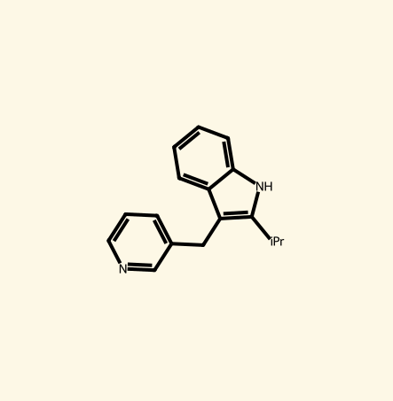 CC(C)c1[nH]c2ccccc2c1Cc1cccnc1